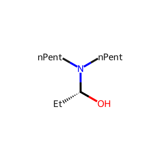 CCCCCN(CCCCC)[C@H](O)CC